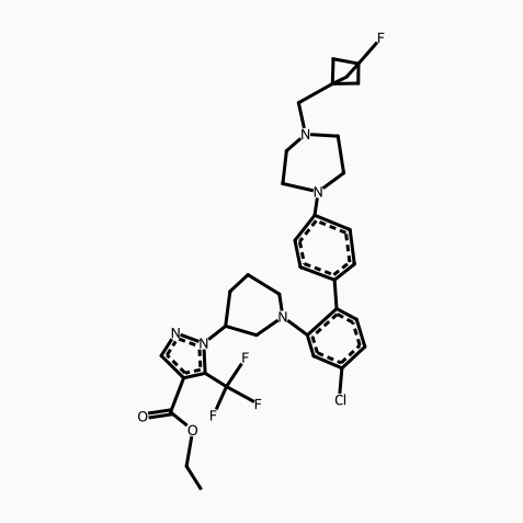 CCOC(=O)c1cnn(C2CCCN(c3cc(Cl)ccc3-c3ccc(N4CCN(CC56CC(F)(C5)C6)CC4)cc3)C2)c1C(F)(F)F